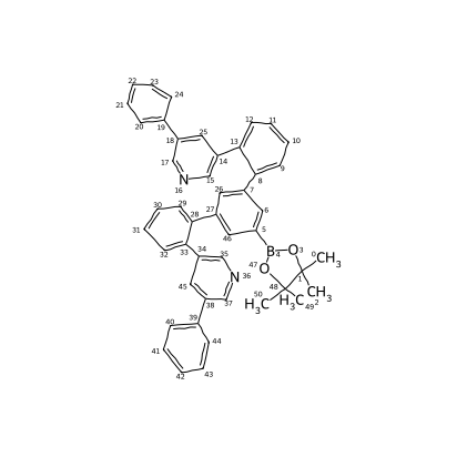 CC1(C)OB(c2cc(-c3ccccc3-c3cncc(-c4ccccc4)c3)cc(-c3ccccc3-c3cncc(-c4ccccc4)c3)c2)OC1(C)C